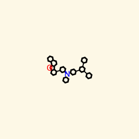 c1ccc(-c2cc(-c3ccccc3)cc(-c3ccc(N(c4ccccc4)c4cccc(-c5cccc6oc7c8ccccc8ccc7c56)c4)cc3)c2)cc1